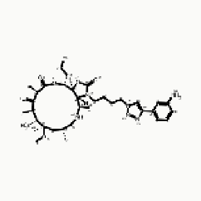 B[C@@H]1[C@@H](C)C(=O)[C@@H](C)C(=O)O[C@H](CCF)[C@@]2(C)OC(=O)N(CCCCn3cc(-c4cccc(N)c4)nn3)[C@@H]2[C@@H](C)NC[C@H](C)C[C@@]1(C)OC